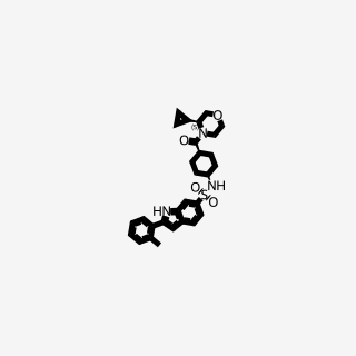 Cc1ccccc1-c1cc2ccc(S(=O)(=O)N[C@H]3CC[C@H](C(=O)N4CCOC[C@@H]4C4CC4)CC3)cc2[nH]1